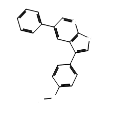 COc1ccc(-c2c[nH]c3ncc(-c4ccccc4)cc23)cc1